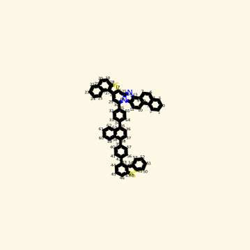 c1ccc2c(c1)ccc1c2ccc2c1nc1c3sc4ccc5ccccc5c4c3cc(-c3ccc(-c4ccc(-c5ccc(-c6cccc7sc8ccccc8c67)cc5)c5ccccc45)cc3)n21